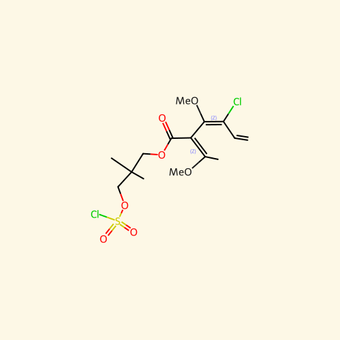 C=C/C(Cl)=C(OC)\C(C(=O)OCC(C)(C)COS(=O)(=O)Cl)=C(/C)OC